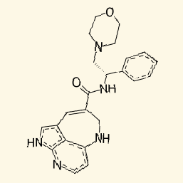 O=C(N[C@H](CN1CCOCC1)c1ccccc1)C1=Cc2c[nH]c3nccc(c23)NC1